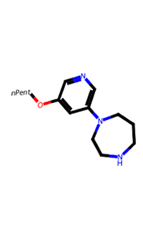 CCCCCOc1cncc(N2CCCNCC2)c1